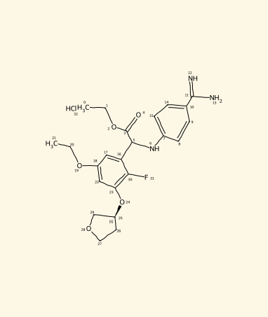 CCOC(=O)C(Nc1ccc(C(=N)N)cc1)c1cc(OCC)cc(O[C@H]2CCOC2)c1F.Cl